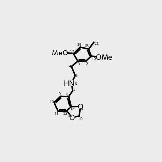 COc1cc(CCNCc2cccc3c2OCO3)c(OC)cc1C